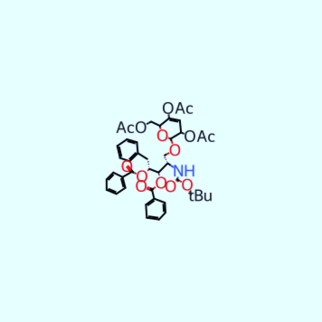 CC(=O)OCC1OC(OC[C@H](NC(=O)OC(C)(C)C)[C@H](OC(=O)c2ccccc2)[C@@H](Cc2ccccc2)OC(=O)c2ccccc2)C(OC(C)=O)C=C1OC(C)=O